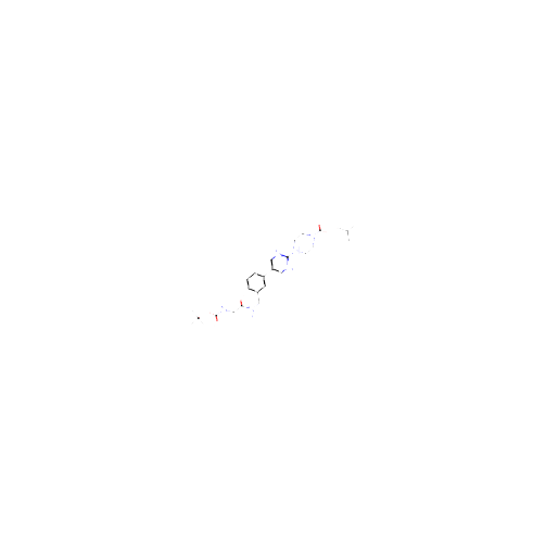 CC(C)COC(=O)N1CCN(c2ncc(-c3cccc(CN(C)C(=O)CNC(=O)OC(C)(C)C)c3)cn2)CC1